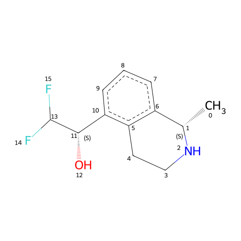 C[C@@H]1NCCc2c1cccc2[C@H](O)C(F)F